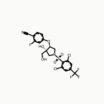 N#Cc1ccc(O[C@H]2CN(S(=O)(=O)c3c(Cl)cc(C(F)(F)F)cc3Cl)C[C@@]2(O)CO)cc1F